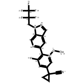 CO[n+]1cc(C2(C#N)CC2)cc(F)c1-c1cc2cnn(CC(F)(F)C(F)(F)F)c2cn1